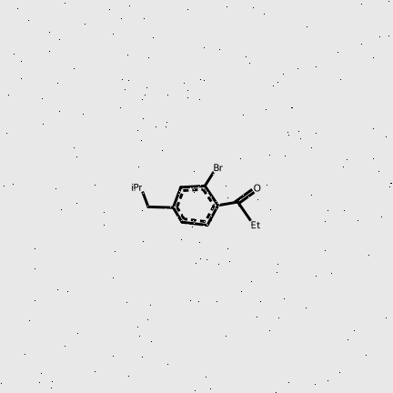 CCC(=O)c1ccc(CC(C)C)cc1Br